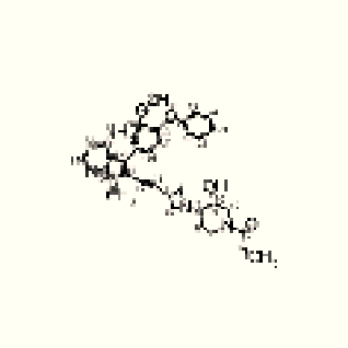 C=CC(=O)N1CC[C@H](N2CC(C#Cc3c(-c4ccc(Oc5ccccc5)c(OC)c4)c4c(N)ncnc4n3C)C2)[C@H](O)C1